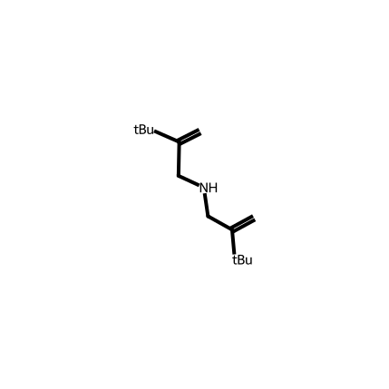 C=C(CNCC(=C)C(C)(C)C)C(C)(C)C